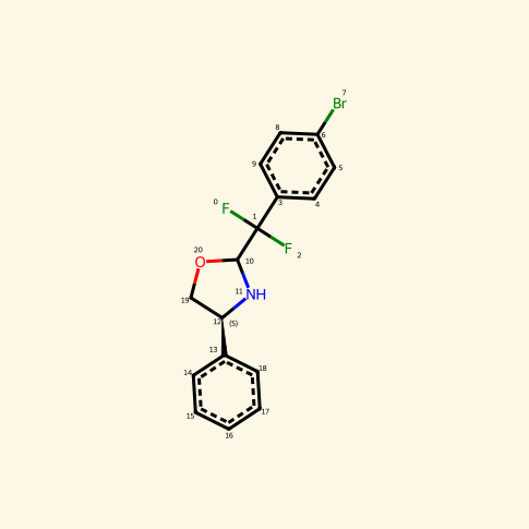 FC(F)(c1ccc(Br)cc1)C1N[C@@H](c2ccccc2)CO1